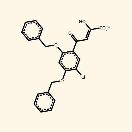 O=C(O)/C(O)=C/C(=O)c1cc(Cl)c(OCc2ccccc2)cc1OCc1ccccc1